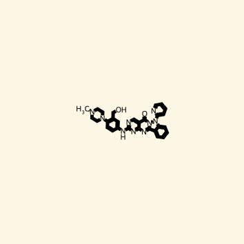 CN1CCN(c2ccc(Nc3ncc4c(=O)n5c(nc4n3)c3ccccc3n5-c3ccccn3)cc2CO)CC1